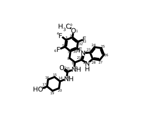 COc1c(F)c(F)c(CC(NC(=O)NC2CCC(O)CC2)c2nc3ccccc3[nH]2)c(F)c1F